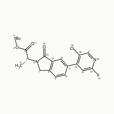 C[C@H](C(=O)OC(C)(C)C)N1Cc2ccc(-c3cc(F)ncc3Cl)cc2C1=O